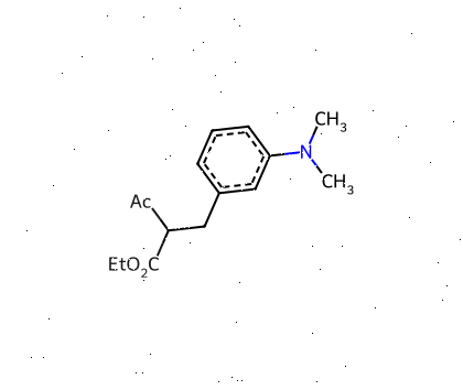 CCOC(=O)C(Cc1cccc(N(C)C)c1)C(C)=O